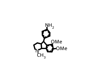 COc1ccc2c(c1OC)C(c1ccc(N)cc1)C1CCCN(C)C21